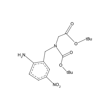 CC(C)(C)OC(=O)CN(Cc1cc([N+](=O)[O-])ccc1N)C(=O)OC(C)(C)C